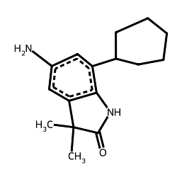 CC1(C)C(=O)Nc2c(C3CCCCC3)cc(N)cc21